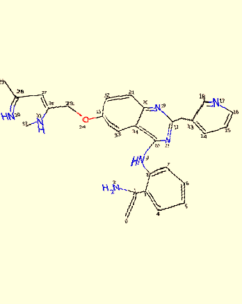 C=C(N)c1ccccc1Nc1nc(-c2cccnc2)nc2ccc(OC/C(=C/C(C)=N)NC)cc12